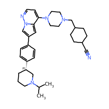 CC(C)N1CCC[C@H](c2ccc(-c3cc4c(N5CCN(CC6CCC(C#N)CC6)CC5)ccnn4c3)cc2)C1